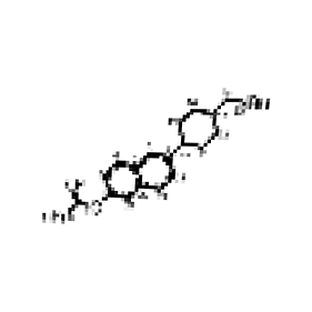 CCCC(=O)Oc1ccc2cc(C3CCC(CC(C)CC)CC3)ccc2c1